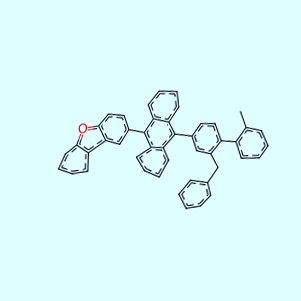 Cc1ccccc1-c1ccc(-c2c3ccccc3c(-c3ccc4oc5ccccc5c4c3)c3ccccc23)cc1Cc1ccccc1